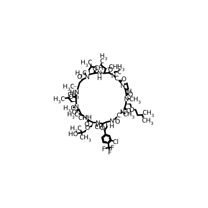 CC[C@H](C)[C@@H]1NC(=O)[C@H](CC(C)C)N(C)C(=O)C[C@@H](C)NC(=O)[C@H](CC(C)C)N(C)C(=O)C(C)(C)NC(=O)[C@H](COCC(C)(C)O)N(C)C(=O)[C@H](CCc2ccc(C(F)(F)F)c(Cl)c2)NC(=O)CN(C)C(=O)[C@H](COCCC(C)C)N(C)C(=O)[C@@H]2CCN2C(=O)CN(CC)C1=O